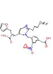 CCCCc1ncc(/C=C(\Cc2ccco2)C(=O)O)n1Cc1ccc(C(=O)O)cc1[N+](=O)[O-]